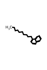 CCCCCCCCCCc1cccc2cc[c]cc12